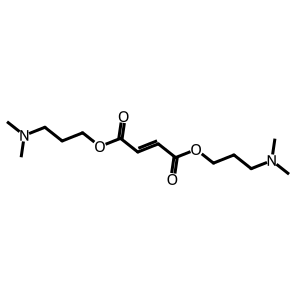 CN(C)CCCOC(=O)C=CC(=O)OCCCN(C)C